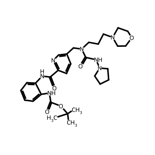 CC(C)(C)OC(=O)Nc1ccccc1NC(=O)c1ccc(CN(CCCN2CCOCC2)C(=O)NN2CCCC2)cn1